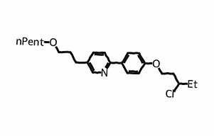 CCCCCOCCCc1ccc(-c2ccc(OCCC(Cl)CC)cc2)nc1